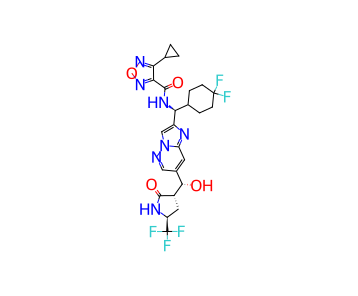 O=C(N[C@H](c1cn2ncc([C@H](O)[C@@H]3C[C@@H](C(F)(F)F)NC3=O)cc2n1)C1CCC(F)(F)CC1)c1nonc1C1CC1